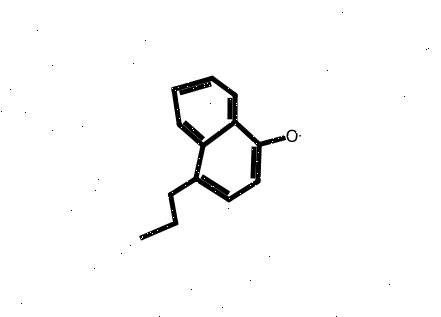 CCCc1ccc([O])c2ccccc12